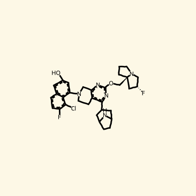 Oc1cc(N2CCc3c(nc(OC[C@@]45CCCN4C[C@H](F)C5)nc3C3CC4CCC(C3)N4)C2)c2c(Cl)c(F)ccc2c1